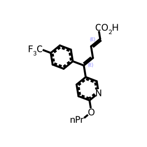 CCCOc1ccc(/C(=C/C=C/C(=O)O)c2ccc(C(F)(F)F)cc2)cn1